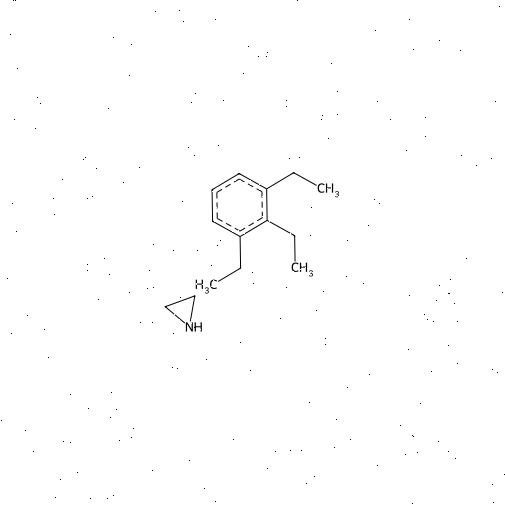 C1CN1.CCc1cccc(CC)c1CC